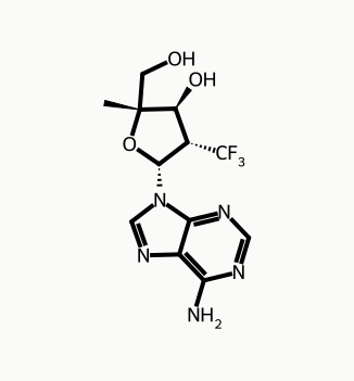 C[C@]1(CO)O[C@@H](n2cnc3c(N)ncnc32)[C@@H](C(F)(F)F)[C@@H]1O